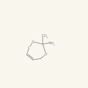 NC1(C(Cl)(Cl)Cl)OCC=CCO1